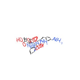 CC(=O)[C@](C(=O)O)(N1C(=O)NC(=Cc2ccc(CN)cc2)C1=O)N(C(=O)[C@@H](N)CC(=O)O)c1ccccc1